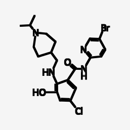 CC(C)N1CCC(CNc2c(O)cc(Cl)cc2C(=O)Nc2ccc(Br)cn2)CC1